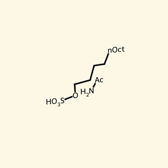 CC(N)=O.CCCCCCCCCCCCOS(=O)(=O)O